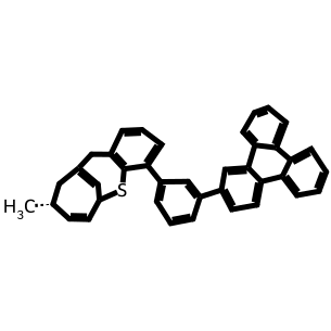 C[C@H]1C=CC2C=C(Cc3cccc(-c4cccc(-c5ccc6c7ccccc7c7ccccc7c6c5)c4)c3S2)C1